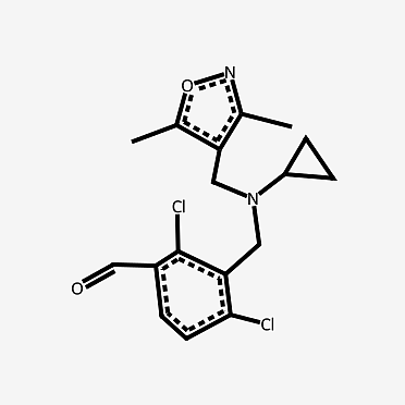 Cc1noc(C)c1CN(Cc1c(Cl)ccc(C=O)c1Cl)C1CC1